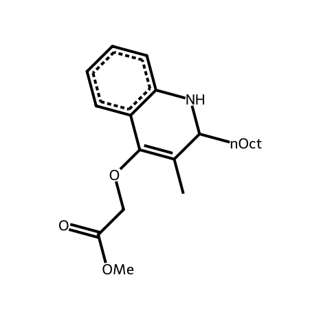 CCCCCCCCC1Nc2ccccc2C(OCC(=O)OC)=C1C